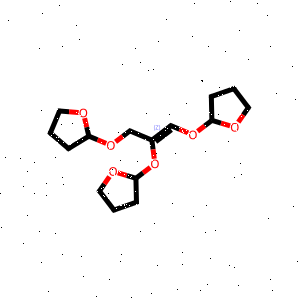 C(/OC1CCCO1)=C(\COC1CCCO1)OC1CCCO1